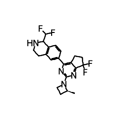 C[C@H]1CCN1c1nc(-c2ccc3c(c2)CCNC3C(F)F)c2c(n1)C(F)(F)CC2